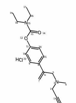 C#CCN(C)CC(=C)c1ccc(OC(=O)N(CC)CC)cc1.Cl